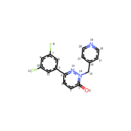 O=c1ccc(-c2cc(F)cc(F)c2)nn1Cc1ccncc1